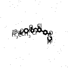 CC(C)(C)[Si](C)(C)OC1CCC(N2CCC(Cc3c(Cl)cc(-c4ccc(C(=O)N5CCC(F)(F)CC5)cc4)cc3Cl)C2=O)CC1